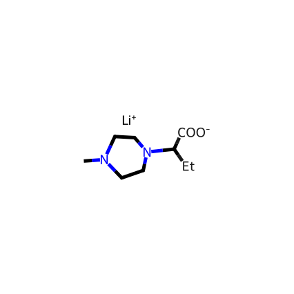 CCC(C(=O)[O-])N1CCN(C)CC1.[Li+]